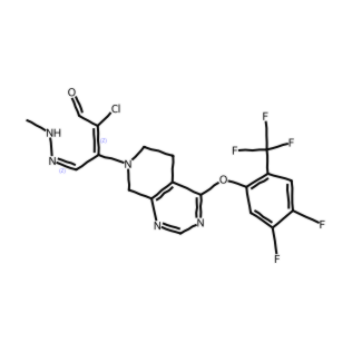 CN/N=C\C(=C(\Cl)C=O)N1CCc2c(ncnc2Oc2cc(F)c(F)cc2C(F)(F)F)C1